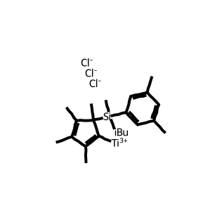 CCC(C)[Si](C)(c1cc(C)cc(C)c1)C1(C)C(C)=C(C)C(C)=[C]1[Ti+3].[Cl-].[Cl-].[Cl-]